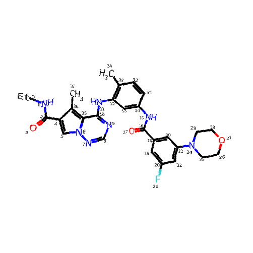 CCNC(=O)c1cn2ncnc(Nc3cc(NC(=O)c4cc(F)cc(N5CCOCC5)c4)ccc3C)c2c1C